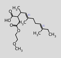 CC/C(C)=C/CC/C(C)=C/C(C)C(CC(=O)OCCOC)C(=O)O